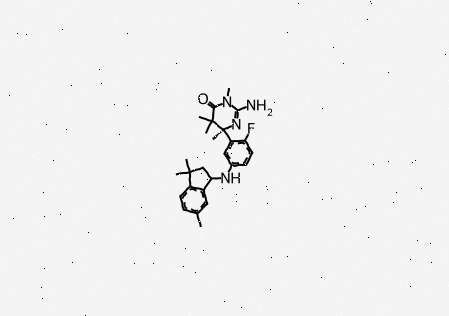 Cc1ccc2c(c1)C(Nc1ccc(F)c([C@@]3(C)N=C(N)N(C)C(=O)C3(C)C)c1)CC2(C)C